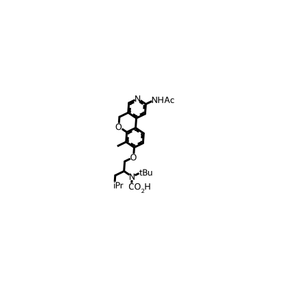 CC(=O)Nc1cc2c(cn1)COc1c-2ccc(OCC(CC(C)C)N(C(=O)O)C(C)(C)C)c1C